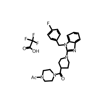 CC(=O)N1CCN(C(=O)C2CCN(c3nc4ccccc4n3Cc3ccc(F)cc3)CC2)CC1.O=C(O)C(F)(F)F